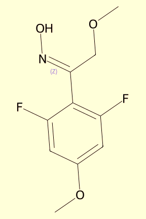 COC/C(=N\O)c1c(F)cc(OC)cc1F